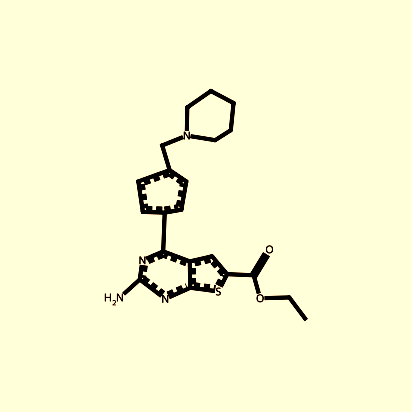 CCOC(=O)c1cc2c(-c3ccc(CN4CCCCC4)cc3)nc(N)nc2s1